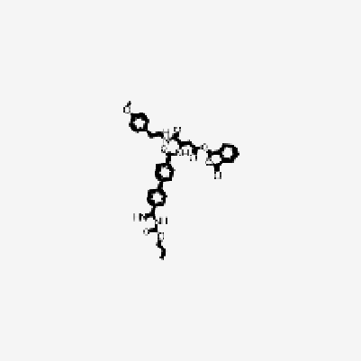 C=CCOC(=O)NC(=N)c1ccc(-c2ccc(C(=O)NC(CC(=O)OC3OC(=O)c4ccccc43)C(=O)NCCc3ccc(OC)cc3)cc2)cc1